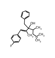 C/C(=C\c1ccc(F)cc1)C(O)(Cc1ccccc1)C(C)CN(C)C